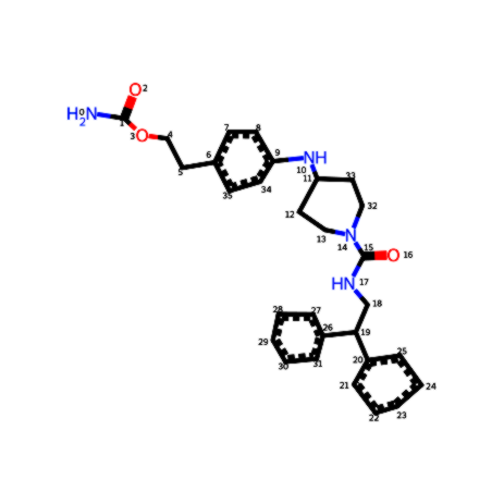 NC(=O)OCCc1ccc(NC2CCN(C(=O)NCC(c3ccccc3)c3ccccc3)CC2)cc1